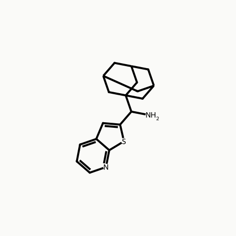 NC(c1cc2cccnc2s1)C12CC3CC(CC(C3)C1)C2